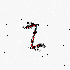 CCCCCC(OC(=O)CCCC(=O)OCC[N+](C)(C)C)C(O)C/C=C\CCCCCCCC(=O)OCCCCCCCCCCOC(=O)CCCCCCC/C=C\CC(O)C(CCCCC)OC(=O)CCCC(=O)OCC[N+](C)(C)C